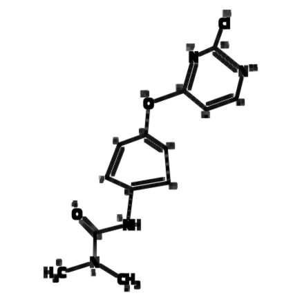 CN(C)C(=O)Nc1ccc(Oc2ccnc(Cl)n2)cc1